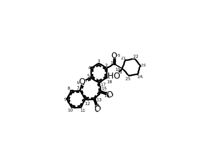 O=C(c1ccc2oc3ccccc3c(=O)c(=O)c2c1)C1(O)CCCCC1